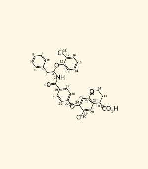 O=C(NC(Cc1ccccc1)Oc1ccccc1Cl)c1ccc(Oc2cc3c(cc2Cl)C(C(=O)O)CCO3)cc1